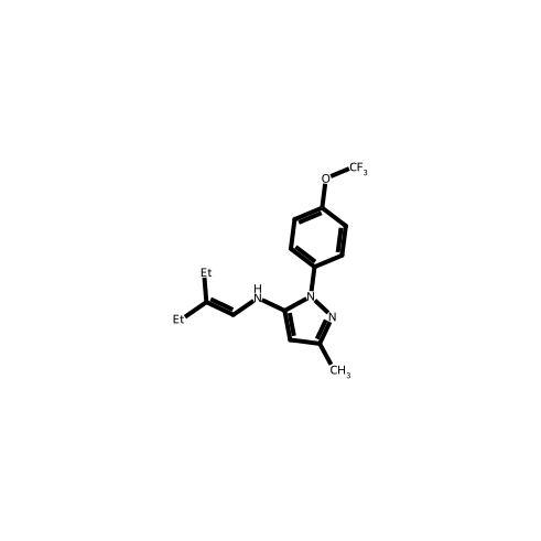 CCC(=CNc1cc(C)nn1-c1ccc(OC(F)(F)F)cc1)CC